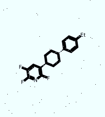 CCc1ccc([C@H]2CC[C@H](c3cc(F)c(F)nc3F)CC2)cc1